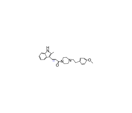 COc1ccc(CCN2CCN(C(=O)/C=C/c3c(C)[nH]c4ccccc34)CC2)cc1